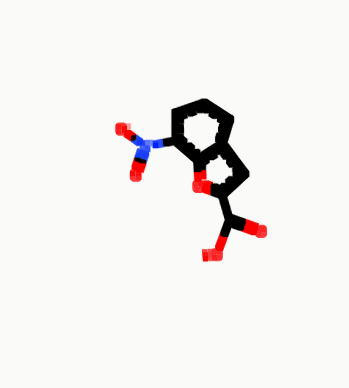 O=C(O)c1cc2cccc([N+](=O)[O-])c2o1